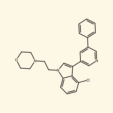 Clc1cccc2c1c(-c1cncc(-c3ccccc3)c1)cn2CCN1CCOCC1